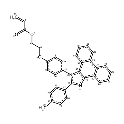 C=CC(=O)OCCOc1ccc(-n2c(-c3ccc(C)cc3)nc3c4ccccc4c4ccccc4c32)cc1